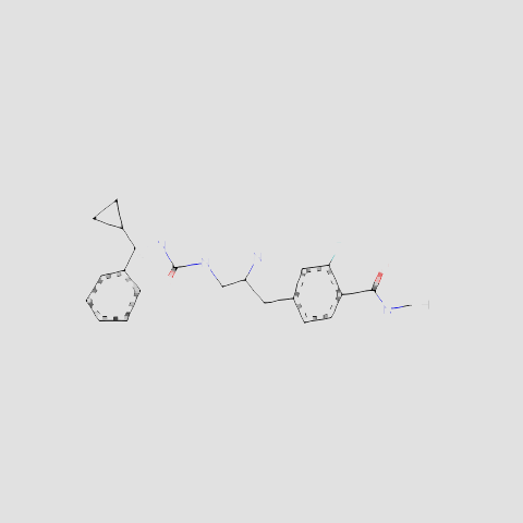 CNC(=O)c1ccc(CC(N)CNC(=O)N[C@H](c2ccccc2)C2CC2)cc1F